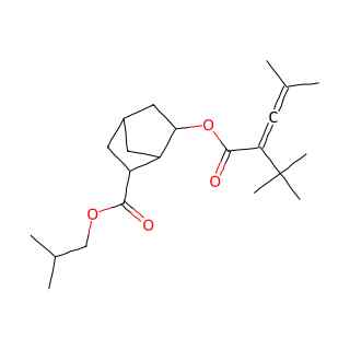 CC(C)=C=C(C(=O)OC1CC2CC(C(=O)OCC(C)C)C1C2)C(C)(C)C